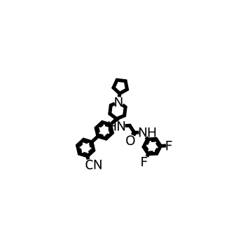 N#Cc1cccc(-c2ccc(C3(NCC(=O)Nc4cc(F)cc(F)c4)CCN(C4CCCC4)CC3)cc2)c1